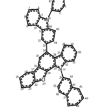 c1ccc(-n2c3ccccc3c3cc(-c4cc5c6ccccc6oc5c5c4c4ccccc4n5-c4ccc5ccccc5c4)ccc32)cc1